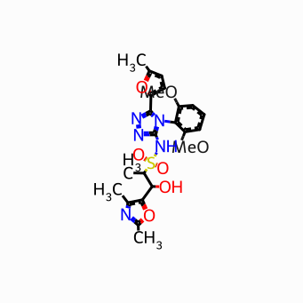 COc1cccc(OC)c1-n1c(NS(=O)(=O)C(C)C(O)c2oc(C)nc2C)nnc1-c1ccc(C)o1